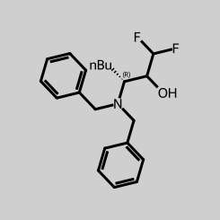 CCCC[C@H](C(O)C(F)F)N(Cc1ccccc1)Cc1ccccc1